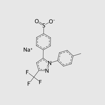 Cc1ccc(-n2nc(C(F)(F)F)cc2-c2ccc(S(=O)[O-])cc2)cc1.[Na+]